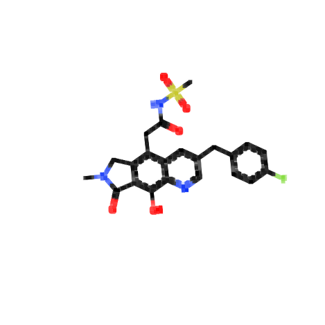 CN1Cc2c(c(O)c3ncc(Cc4ccc(F)cc4)cc3c2CC(=O)NS(C)(=O)=O)C1=O